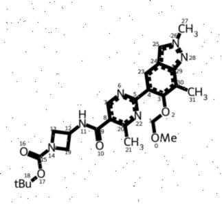 COCOc1c(-c2ncc(C(=O)NC3CN(C(=O)OC(C)(C)C)C3)c(C)n2)cc2cn(C)nc2c1C